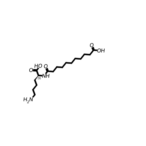 NCCCC[C@H](NC(=O)CCCCCCCCCC(=O)O)C(=O)O